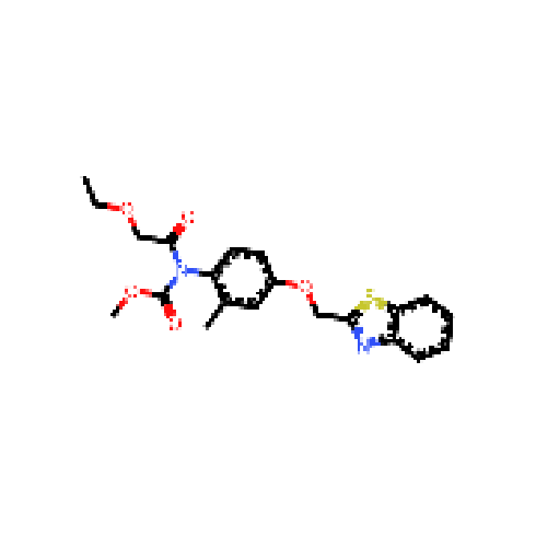 CCOCC(=O)N(C(=O)OC)c1ccc(OCc2nc3ccccc3s2)cc1C